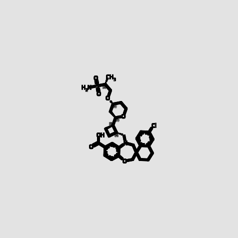 C[C@H](CO[C@@H]1CCO[C@@H]([C@@H]2CC[C@H]2CN2CC3(CCCc4cc(Cl)ccc43)COc3ccc(C(=O)O)cc32)C1)S(N)(=O)=O